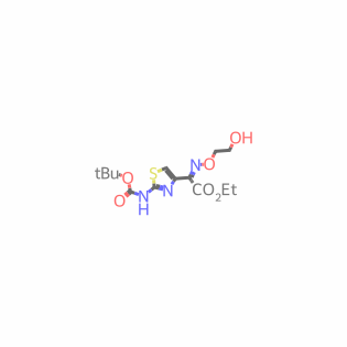 CCOC(=O)C(=NOCCO)c1csc(NC(=O)OC(C)(C)C)n1